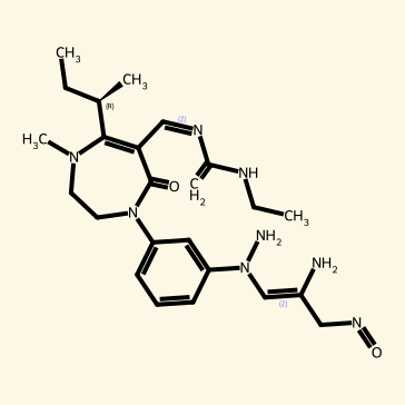 C=C(/N=C\C1=C([C@H](C)CC)N(C)CCN(c2cccc(N(N)/C=C(\N)CN=O)c2)C1=O)NCC